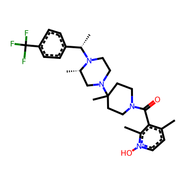 Cc1cc[n+](O)c(C)c1C(=O)N1CCC(C)(N2CCN([C@@H](C)c3ccc(C(F)(F)F)cc3)[C@@H](C)C2)CC1